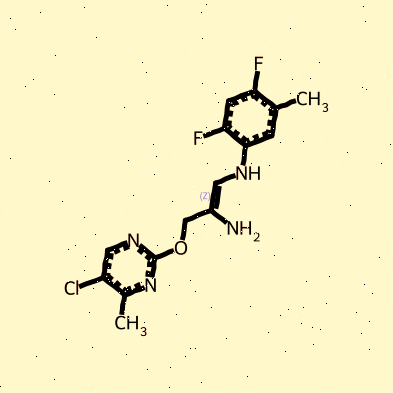 Cc1cc(N/C=C(\N)COc2ncc(Cl)c(C)n2)c(F)cc1F